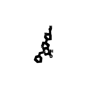 N#Cc1ccc(-c2cnc3c(c2)NC(=O)CN3Cc2ccccc2)cn1